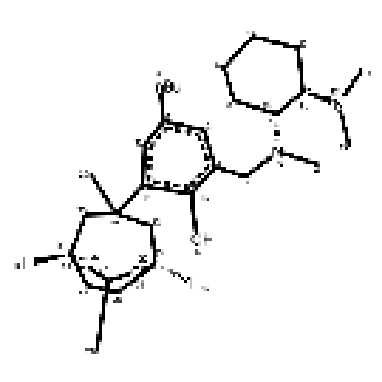 CCCCc1cc(CN(C)[C@@H]2CCCC[C@H]2N(C)C)c(O)c(C2(C)C[C@H]3CC[C@@H](CC(C)C3)C2)c1